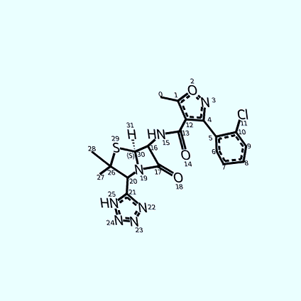 Cc1onc(-c2ccccc2Cl)c1C(=O)NC1C(=O)N2C(c3nnn[nH]3)C(C)(C)S[C@@H]12